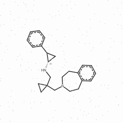 c1ccc(C2C[C@@H]2NCC2(CN3CCc4ccccc4CC3)CC2)cc1